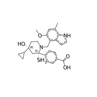 COc1cc(C)c2[nH]ccc2c1CN1CC[C@](O)(C2CC2)C[C@]1([SiH3])c1ccc(C(=O)O)cc1